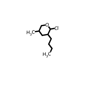 CCCCC1CC(C)COC1Cl